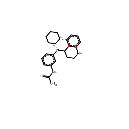 CC(=O)Nc1cccc(N(C2CCNCC2)[C@@H]2CCCC[C@@H]2c2ccccc2)c1